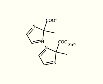 CC1(C(=O)[O-])N=CC=N1.CC1(C(=O)[O-])N=CC=N1.[Zn+2]